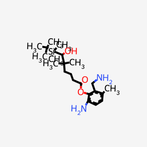 Cc1ccc(N)c(OC(=O)CCCC(C)(C)C(O)[Si](C)(C)C(C)(C)C)c1CN